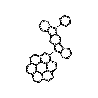 c1ccc(-n2c3ccccc3c3cc4c(cc32)c2ccccc2n4-c2cc3ccc4ccc5ccc6ccc7ccc2c2c7c6c5c4c32)cc1